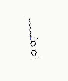 CCCCCCCCC/C=C/c1cc2nc3ccc(N(C)C)cc3sc-2cc1=[N+](C)C